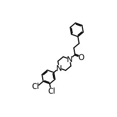 O=C(CCc1ccccc1)N1CCN(c2ccc(Cl)c(Cl)c2)CC1